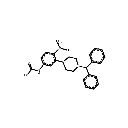 CCC(=O)Nc1ccc(N(C)C)c(N2CCN(C(c3ccccc3)c3ccccc3)CC2)c1